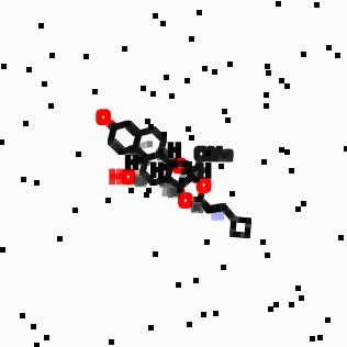 COCC(=O)[C@@]12O[C@H](/C=C/C3CCC3)O[C@@H]1C[C@H]1[C@@H]3CCC4=CC(=O)C=C[C@]4(C)[C@H]3[C@@H](O)C[C@@]12C